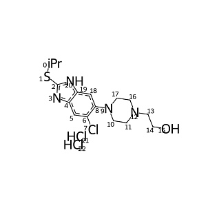 CC(C)Sc1nc2cc(Cl)c(N3CCN(CCO)CC3)cc2[nH]1.Cl.Cl